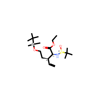 C=C[C@@H](CCO[Si](C)(C)C(C)(C)C)[C@H](N[S@@+]([O-])C(C)(C)C)C(=O)OCC